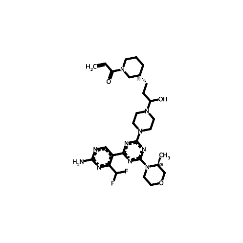 C=CC(=O)N1CCC[C@H](CCC(O)N2CCN(c3nc(-c4cnc(N)nc4C(F)F)nc(N4CCOC[C@@H]4C)n3)CC2)C1